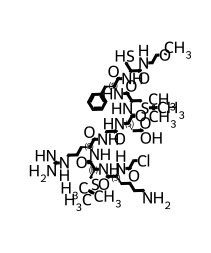 COCCNC(=O)C(CS)NC(=O)[C@H](Cc1ccccc1)NC(=O)C(CSC(C)(C)C)NC(=O)[C@H](CC(=O)O)NC(=O)CNC(=O)[C@H](CCCNC(=N)N)NC(=O)[C@H](CSC(C)(C)C)NC(=O)[C@H](CCCCN)NC(=O)CCl